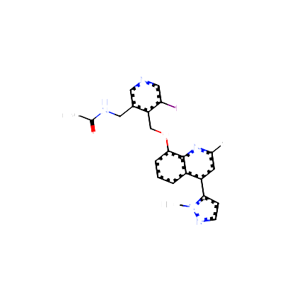 CCCCC(=O)NCc1cncc(I)c1COc1cccc2c(-c3ccnn3C)cc(C)nc12